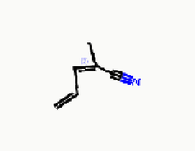 C=C/C=C(/C)C#N